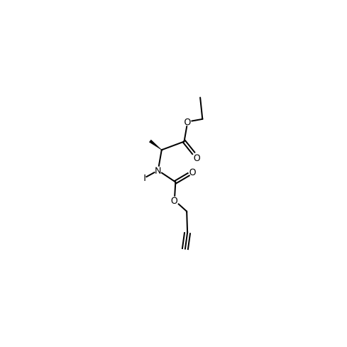 C#CCOC(=O)N(I)[C@@H](C)C(=O)OCC